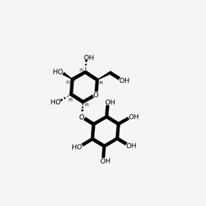 OC[C@H]1O[C@H](OC2C(O)C(O)C(O)C(O)C2O)[C@H](O)[C@@H](O)[C@@H]1O